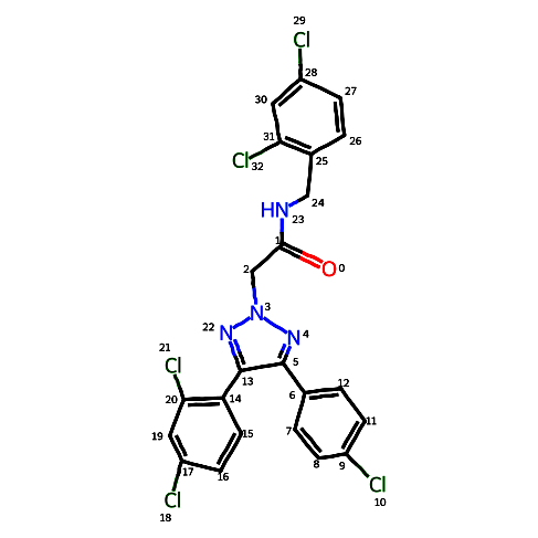 O=C(Cn1nc(-c2ccc(Cl)cc2)c(-c2ccc(Cl)cc2Cl)n1)NCc1ccc(Cl)cc1Cl